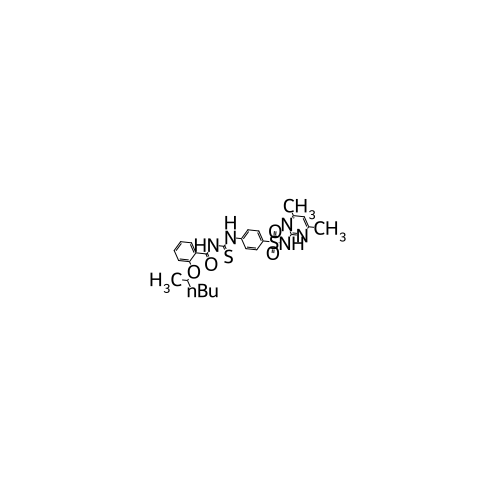 CCCCC(C)Oc1ccccc1C(=O)NC(=S)Nc1ccc(S(=O)(=O)Nc2nc(C)cc(C)n2)cc1